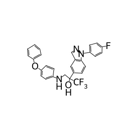 OC(CNc1ccc(Oc2ccccc2)cc1)(c1ccc2c(cnn2-c2ccc(F)cc2)c1)C(F)(F)F